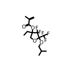 C=C(C)C(=O)OC1(CC)COC(OCC(C)C)(C(F)(F)F)C1(F)F